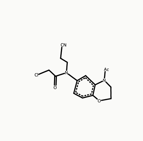 CC(=O)N1CCOc2ccc(N(CCC#N)C(=O)CCl)cc21